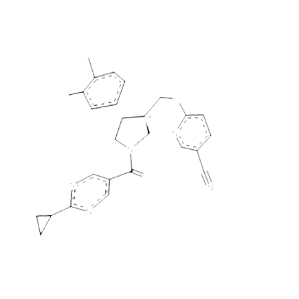 C[C@H](Oc1ccc(C#N)cn1)[C@H]1CN(C(=O)c2cnc(C3CC3)nc2)C[C@@H]1c1ccc(Cl)c(Cl)c1